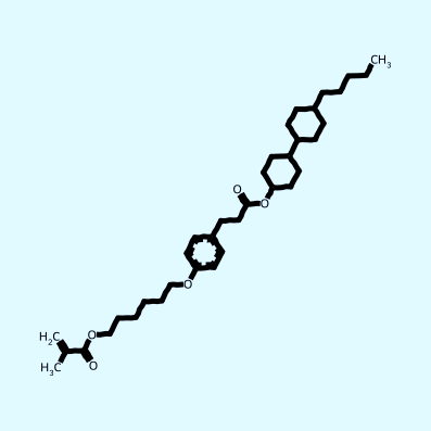 C=C(C)C(=O)OCCCCCCOc1ccc(CCC(=O)OC2CCC(C3CCC(CCCCC)CC3)CC2)cc1